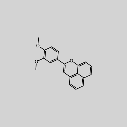 COc1ccc(C2=Cc3cccc4cccc(c34)O2)cc1OC